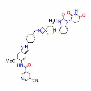 COc1cc2nn([C@H]3CC[C@H](CN4CC5(CCN(c6cccc7c6n(C)c(=O)n7C6CCC(=O)NC6=O)CC5)C4)CC3)cc2cc1NC(=O)c1cncc(C#N)c1